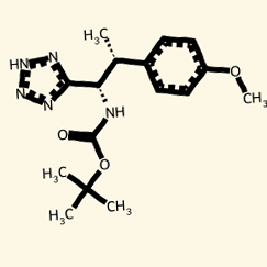 COc1ccc([C@@H](C)[C@H](NC(=O)OC(C)(C)C)c2nn[nH]n2)cc1